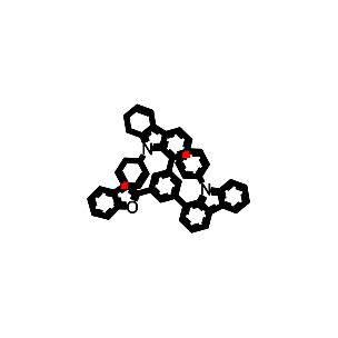 C1=CCC(n2c3c(c4cccc(-c5cc(-c6cc7ccccc7o6)cc(-c6cccc7c8ccccc8n(-c8ccccc8)c67)c5)c42)C=CCC3)C=C1